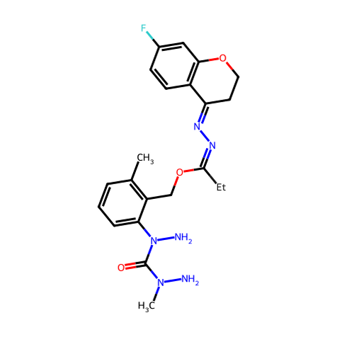 CC/C(=N/N=C1CCOc2cc(F)ccc21)OCc1c(C)cccc1N(N)C(=O)N(C)N